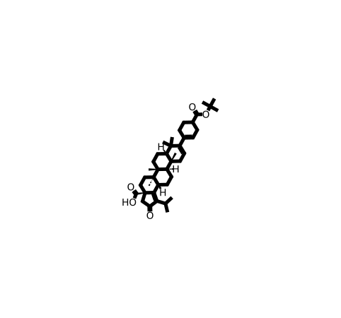 CC(C)C1=C2[C@H]3CC[C@@H]4[C@@]5(C)CC=C(C6=CCC(C(=O)OC(C)(C)C)CC6)C(C)(C)[C@@H]5CC[C@@]4(C)[C@]3(C)CC[C@@]2(C(=O)O)CC1=O